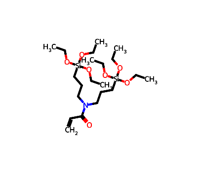 C=CC(=O)N(CCC[Si](OCC)(OCC)OCC)CCC[Si](OCC)(OCC)OCC